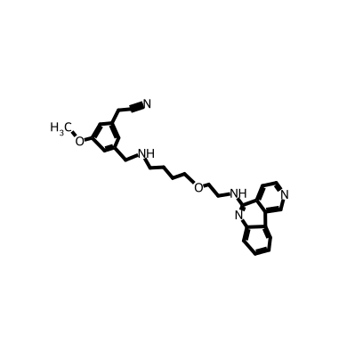 COc1cc(CC#N)cc(CNCCCCOCCNc2nc3ccccc3c3cnccc23)c1